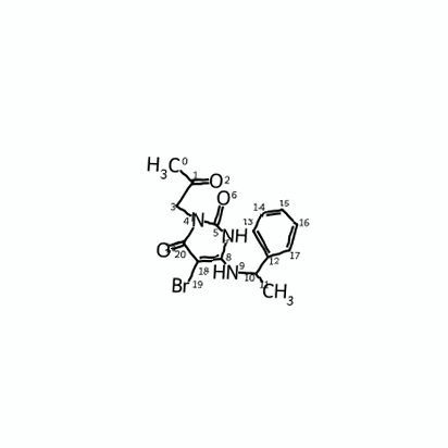 CC(=O)Cn1c(=O)[nH]c(NC(C)c2ccccc2)c(Br)c1=O